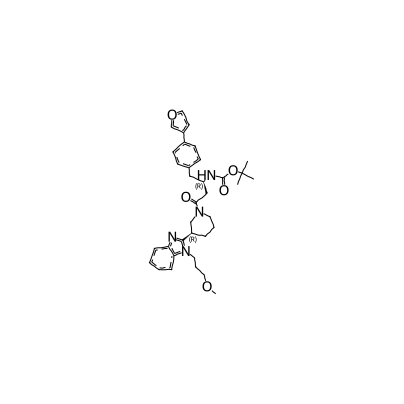 COCCCn1c([C@@H]2CCCN(C(=O)C[C@@H](Cc3ccc(-c4ccoc4)cc3)NC(=O)OC(C)(C)C)C2)nc2ccccc21